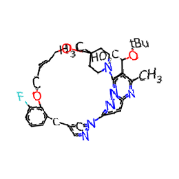 Cc1nc2cc3nn2c(c1[C@H](OC(C)(C)C)C(=O)O)N1CCC(C)(CC1)OC/C=C/COc1c(F)cccc1Cc1cnn-3c1